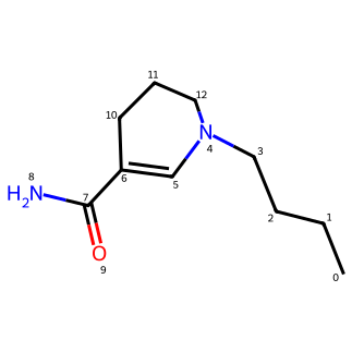 CCCCN1C=C(C(N)=O)CCC1